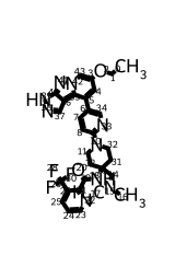 CCOc1cc(-c2ccc(N3CCC(CN(C)C)(NC(=O)c4ncccc4C(F)(F)F)CC3)nc2)c2c3cn[nH]c3nn2c1